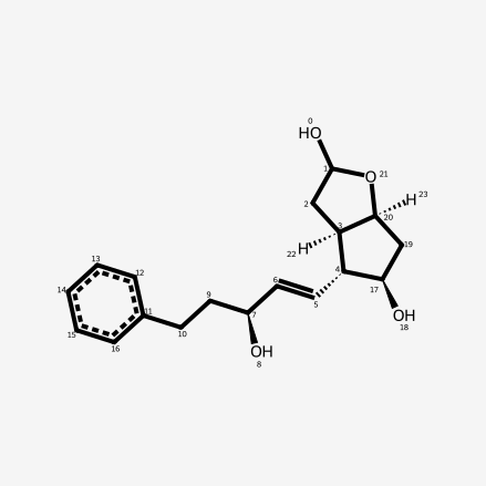 OC1C[C@@H]2[C@@H](C=C[C@@H](O)CCc3ccccc3)[C@H](O)C[C@@H]2O1